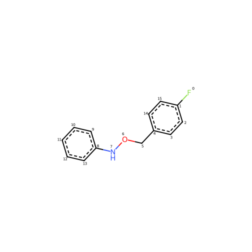 Fc1ccc(CONc2ccccc2)cc1